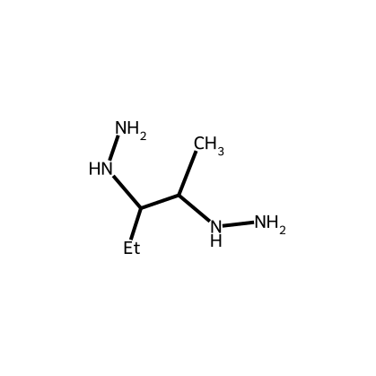 CCC(NN)C(C)NN